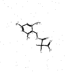 CCC(=O)C(C)(F)C(=O)OCc1c(C(C)C)cc(C(C)C)cc1C(C)C